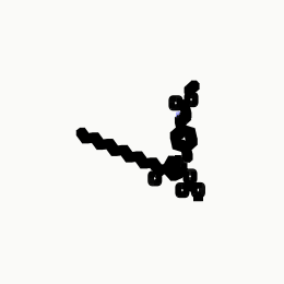 CCCCCCCCCCCC(=O)c1cc(OC(=O)OC)n(Cc2ccc(/C=C/C(=O)OCC)cc2)c1